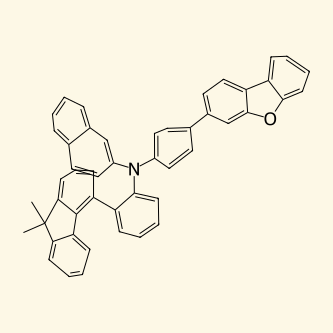 CC1(C)c2ccccc2-c2c(-c3ccccc3N(c3ccc(-c4ccc5c(c4)oc4ccccc45)cc3)c3ccc4ccccc4c3)cccc21